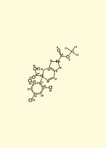 CC(C)(C)OC(=O)N1CC2=C(C1)CC(C(=O)O)(c1c(Cl)cc(Cl)cc1Cl)C=C2